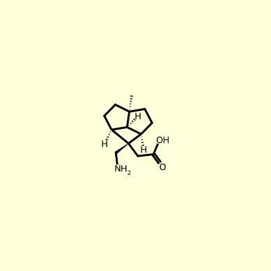 C[C@]12CC[C@@H]3[C@H]1[C@H](CC2)[C@@]3(CN)CC(=O)O